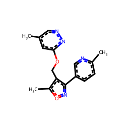 Cc1cnnc(OCc2c(-c3ccc(C)nc3)noc2C)c1